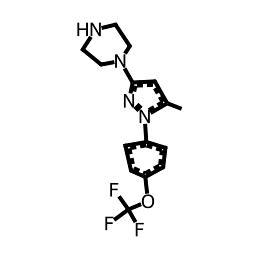 Cc1cc(N2CCNCC2)nn1-c1ccc(OC(F)(F)F)cc1